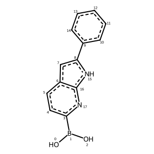 OB(O)c1ccc2cc(-c3ccccc3)[nH]c2n1